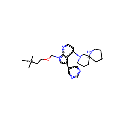 C[Si](C)(C)CCOCn1cc(-c2cncnc2)c2c(N3CCC[C@@]4(CCCCN4)C3)ccnc21